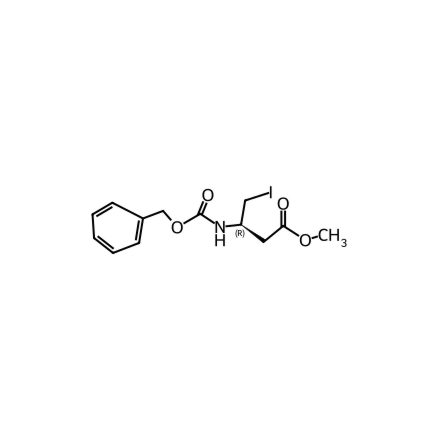 COC(=O)C[C@H](CI)NC(=O)OCc1ccccc1